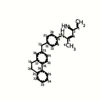 C=CC(=N)/C=C(/C)Nc1ccc(Cc2ccc3c(c2)CCc2ccccc2-3)cc1